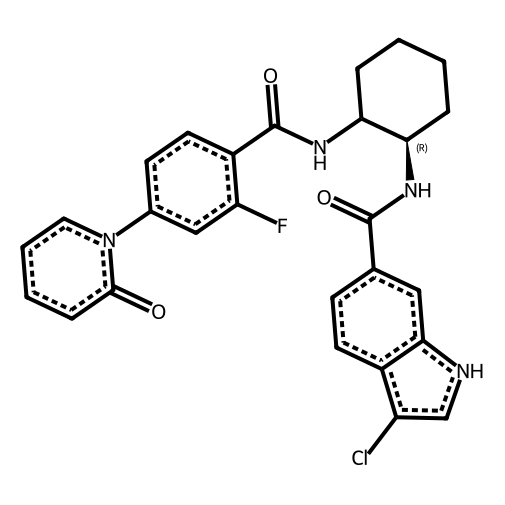 O=C(N[C@@H]1CCCCC1NC(=O)c1ccc(-n2ccccc2=O)cc1F)c1ccc2c(Cl)c[nH]c2c1